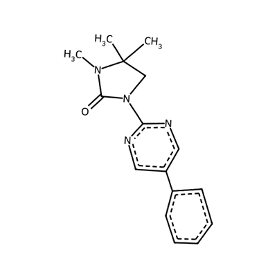 CN1C(=O)N(c2ncc(-c3ccccc3)cn2)CC1(C)C